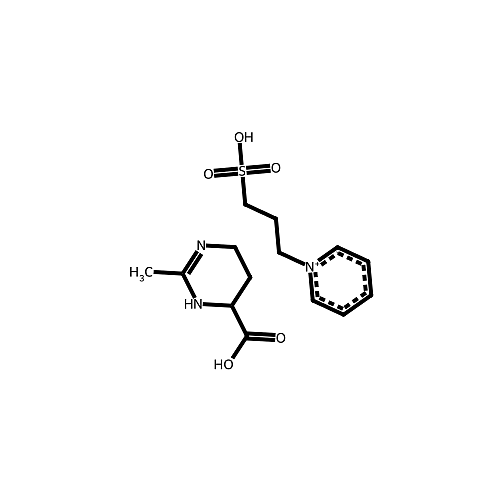 CC1=NCCC(C(=O)O)N1.O=S(=O)(O)CCC[n+]1ccccc1